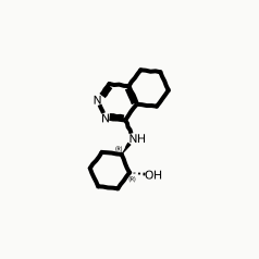 O[C@@H]1CCCC[C@H]1Nc1nncc2c1CCCC2